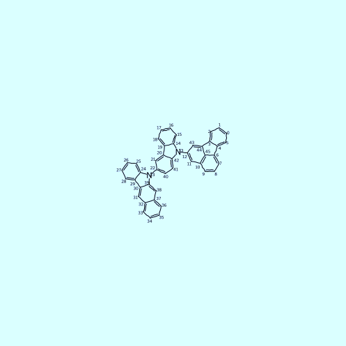 c1ccc2c(c1)-c1cccc3cc(-n4c5ccccc5c5cc(-n6c7ccccc7c7cc8ccccc8cc76)ccc54)cc-2c13